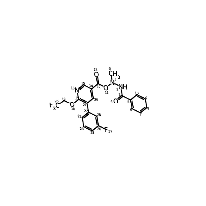 CN(NC(=O)c1ccccc1)OC(=O)c1cnc(OCC(F)(F)F)c(-c2cccc(F)c2)c1